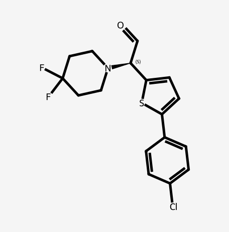 O=C[C@@H](c1ccc(-c2ccc(Cl)cc2)s1)N1CCC(F)(F)CC1